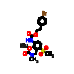 CN(Cc1cc(NC(=O)OCCc2ccc(Br)cc2)ccc1S(C)(=O)=O)C(=O)OC(C)(C)C